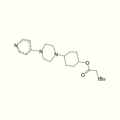 CC(C)(C)CC(=O)OC1CCC(N2CCN(c3ccncc3)CC2)CC1